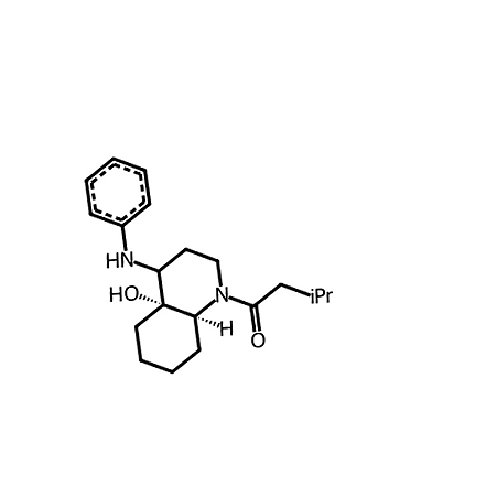 CC(C)CC(=O)N1CCC(Nc2ccccc2)[C@]2(O)CCCC[C@H]12